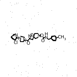 Cc1ccc(CNC(=O)ON2CCC3(CC2)CC(C(=O)N2CCN(c4ncccc4Cl)CC2)=NO3)cc1